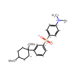 COC1CCC(OC)(c2cccc(S(=O)(=O)c3ccc(N(C)C(C)=O)cc3)c2)CC1